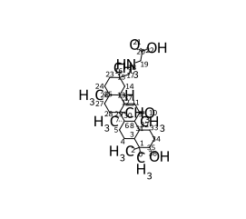 CC1(C)C2CC[C@]3(C)C(C(=O)C=C4[C@H]5C[C@@](C)(CNCC(=O)O)CC[C@]5(C)CC[C@]43C)[C@@]2(C)CC[C@@H]1O